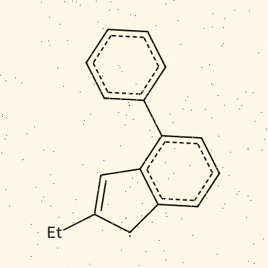 CCC1=Cc2c(cccc2-c2ccccc2)[CH]1